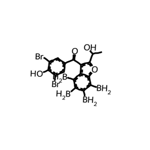 Bc1c(B)c(B)c2c(C(=O)c3cc(Br)c(O)c(Br)c3)c(C(C)O)oc2c1B